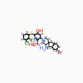 N[C@@H]1c2cc(Br)ccc2CC12CCN(c1cc(O)c(Sc3cccc(Cl)c3Cl)nc1CO)CC2